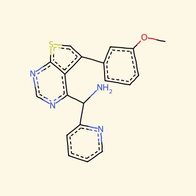 COc1cccc(-c2csc3ncnc(C(N)c4ccccn4)c23)c1